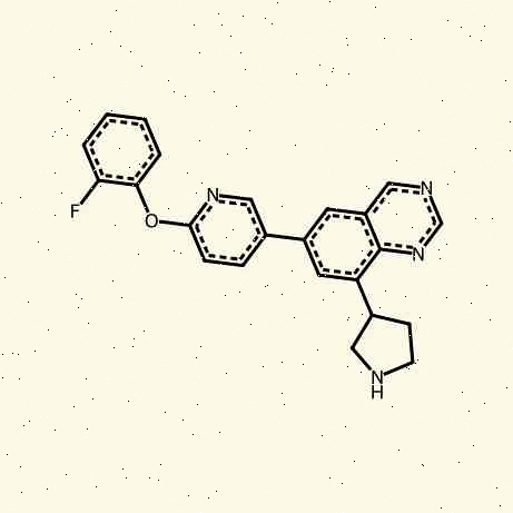 Fc1ccccc1Oc1ccc(-c2cc(C3CCNC3)c3ncncc3c2)cn1